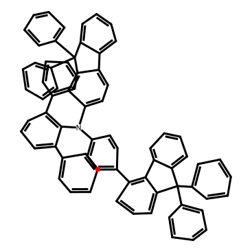 c1ccc(-c2cccc(-c3ccccc3)c2N(c2ccc(-c3cccc4c3-c3ccccc3C4(c3ccccc3)c3ccccc3)cc2)c2ccc3c(c2)C(c2ccccc2)(c2ccccc2)c2ccccc2-3)cc1